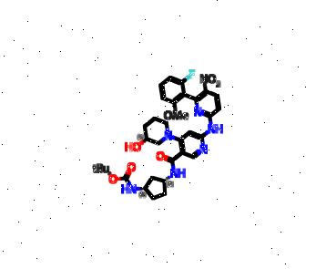 COc1cccc(F)c1-c1nc(Nc2cc(N3CCC[C@H](O)C3)c(C(=O)N[C@@H]3CC[C@@H](NC(=O)OC(C)(C)C)C3)cn2)ccc1[N+](=O)[O-]